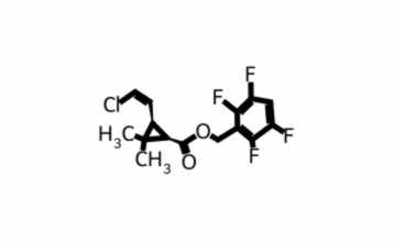 CC1(C)[C@H](C(=O)OCc2c(F)c(F)cc(F)c2F)[C@@H]1/C=C\Cl